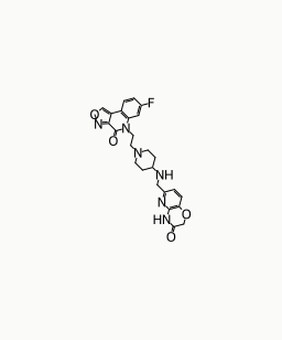 O=C1COc2ccc(CNC3CCN(CCn4c(=O)c5nocc5c5ccc(F)cc54)CC3)nc2N1